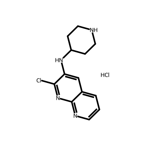 Cl.Clc1nc2ncccc2cc1NC1CCNCC1